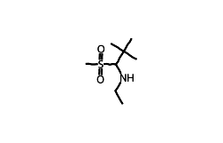 CCNC(C(C)(C)C)S(C)(=O)=O